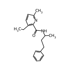 CCc1ccc(C)nc1C(=O)NC(C)CCc1ccccc1